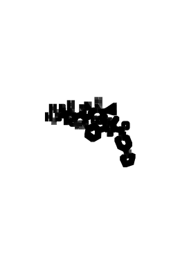 BC(B)(B)NC(=O)c1nnc(NC(=O)C2CC2)cc1Nc1cccc(-c2nc(C)c(C(=O)N3CCC(N4CCCC4)CC3)s2)c1OC